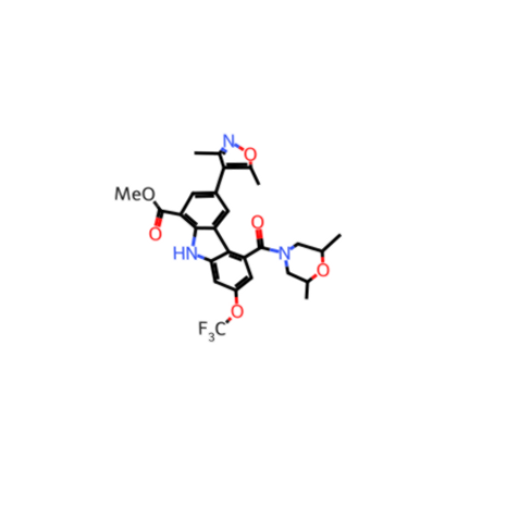 COC(=O)c1cc(-c2c(C)noc2C)cc2c1[nH]c1cc(OC(F)(F)F)cc(C(=O)N3CC(C)OC(C)C3)c12